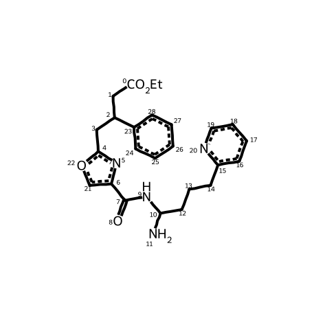 CCOC(=O)CC(Cc1nc(C(=O)NC(N)CCCc2ccccn2)co1)c1ccccc1